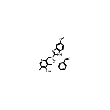 COc1ccc2[nH]c([S+]([O-])Cc3ncc(C)c(OC)c3C)nc2c1.O=Cc1ccccc1